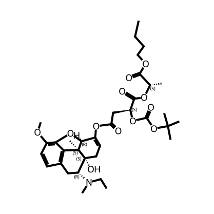 CCCCOC(=O)[C@H](C)OC(=O)[C@H](CC(=O)OC1=CC[C@@]2(O)[C@H](N(C)CC)Cc3ccc(OC)c4c3[C@@]2(C)[C@H]1O4)OC(=O)OC(C)(C)C